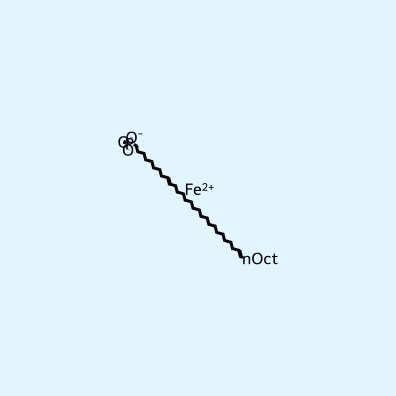 CCCCCCCCC=CCCCCCCCCCCCCCCCCC=CCCCCCCCCP(=O)([O-])[O-].[Fe+2]